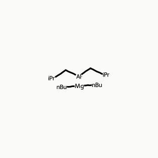 CC(C)[CH2][Al][CH2]C(C)C.CCC[CH2][Mg][CH2]CCC